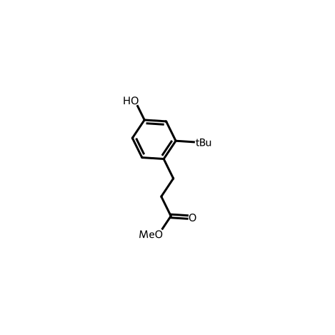 COC(=O)CCc1ccc(O)cc1C(C)(C)C